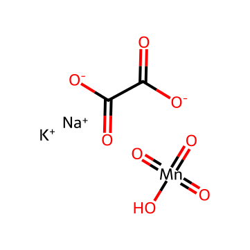 O=C([O-])C(=O)[O-].[K+].[Na+].[O]=[Mn](=[O])(=[O])[OH]